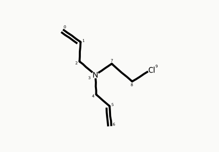 C=CCN(CC=C)CCCl